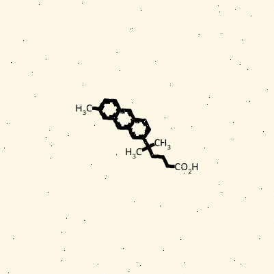 Cc1ccc2cc3ccc(C(C)(C)CCCC(=O)O)cc3cc2c1